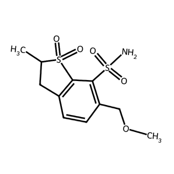 COCc1ccc2c(c1S(N)(=O)=O)S(=O)(=O)C(C)C2